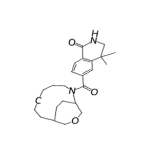 CC1(C)CNC(=O)c2ccc(C(=O)N3CCCCCCC4CCC3COC4)cc21